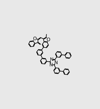 C=c1/c(=C\c2c(C)oc3ccc(-c4cccc(-c5cccc(-c6nc(-c7cccc(-c8ccccc8)c7)nc(-c7cccc(-c8ccccc8)c7)n6)c5)c4)cc23)oc2ccccc12